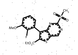 CCOC(=O)c1sc2cnc(S(C)(=O)=O)nc2c1-c1cccc(OC)c1F